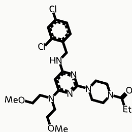 CCC(=O)N1CCN(c2nc(NCc3ccc(Cl)cc3Cl)cc(N(CCOC)CCOC)n2)CC1